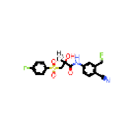 CC(O)(CS(=O)(=O)c1ccc(F)cc1)C(=O)Nc1ccc(C#N)c(CF)c1